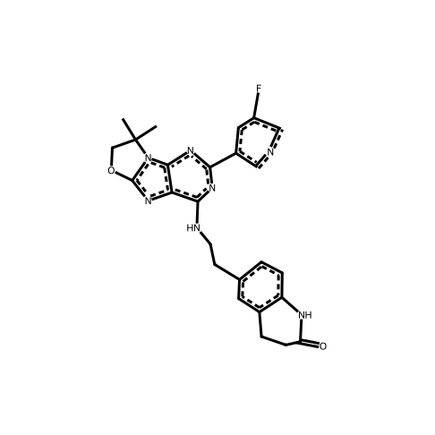 CC1(C)COc2nc3c(NCCc4ccc5c(c4)CCC(=O)N5)nc(-c4cncc(F)c4)nc3n21